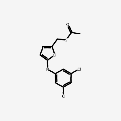 CC(=O)SCc1ccc([N]c2cc(Cl)cc(Cl)c2)o1